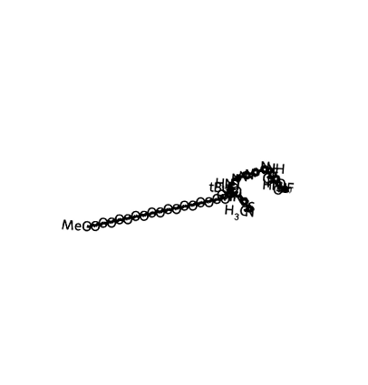 COCCOCCOCCOCCOCCOCCOCCOCCOCCOCCOCCOCCOCCOCCOCCOCCOCC(=O)O[C@@H]1C[C@@H](C(=O)NCc2ccc(-c3scnc3C)cc2)N(C(=O)[C@@H](NC(=O)CN2CC(N3CCN(c4ccc(-c5cnc6[nH]cc(C(=O)c7c(F)ccc(NS(=O)(=O)N8CC[C@@H](F)C8)c7F)c6c5)cc4)CC3)C2)C(C)(C)C)C1